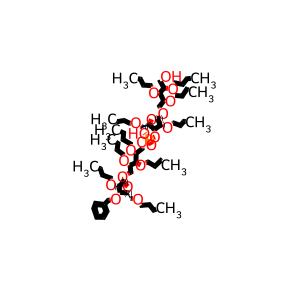 CCCCOC[C@H]1O[C@@H](OCC(OCCCC)C(OCCCC)C(COP(=O)(O)OC2[C@@H](COCCCC)O[C@@H](OCC(OCCCC)C(OCCCC)C(CO)OCCCC)[C@H]2OCCCC)OCCCC)[C@@H](OCCCC)C1OCc1ccccc1